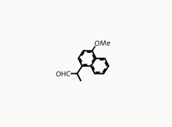 COc1ccc(C(C)C=O)c2ccccc12